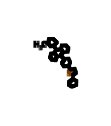 CC1=CCCC(c2c3ccccc3c(C3=CC=C(c4ccc(C5=CC=CCC5)s4)CC3)c3ccccc23)=C1